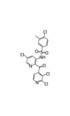 Cc1cc(S(=O)(=O)Nc2cc(Cl)cnc2C(=O)c2ccnc(Cl)c2Cl)ccc1Cl